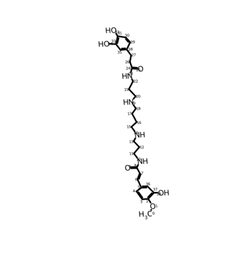 COc1ccc(/C=C/C(=O)NCCCNCCCCNCCCNC(=O)CCc2ccc(O)c(O)c2)cc1O